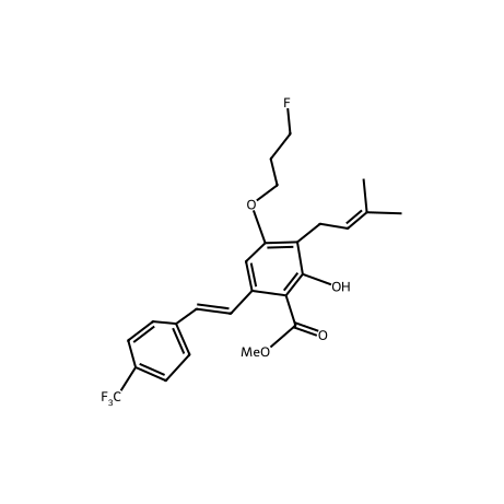 COC(=O)c1c(C=Cc2ccc(C(F)(F)F)cc2)cc(OCCCF)c(CC=C(C)C)c1O